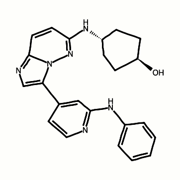 O[C@H]1CC[C@H](Nc2ccc3ncc(-c4ccnc(Nc5ccccc5)c4)n3n2)CC1